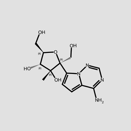 C[C@@]1(O)[C@H](O)[C@@H](CO)O[C@@]1(CO)c1ccc2c(N)ncnn12